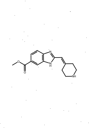 COC(=O)c1ccc2nc(C=C3CCNCC3)[nH]c2c1